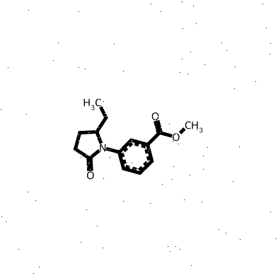 CCC1CCC(=O)N1c1cccc(C(=O)OC)c1